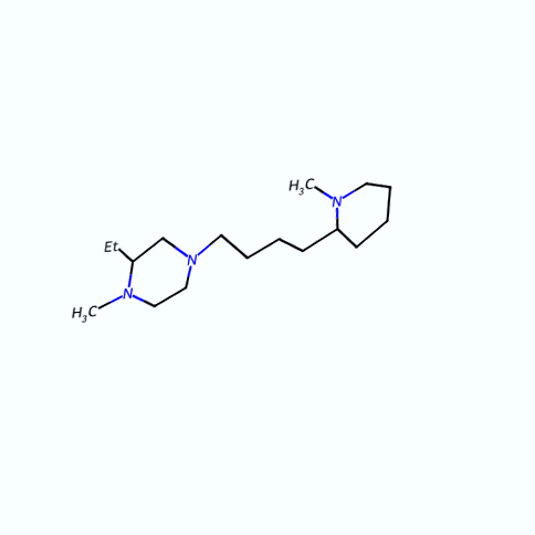 CCC1CN(CCCCC2CCCCN2C)CCN1C